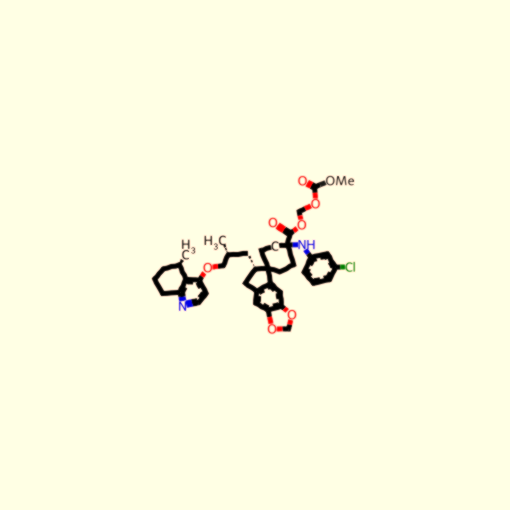 COC(=O)OCOC(=O)C1(Nc2cccc(Cl)c2)CCC2(CC1)c1cc3c(cc1C[C@@H]2C[C@@H](C)COc1ccnc2c1[C@H](C)CCC2)OCO3